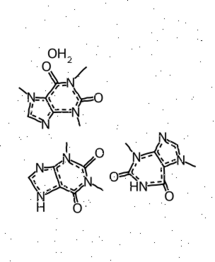 Cn1c(=O)c2[nH]cnc2n(C)c1=O.Cn1c(=O)c2c(ncn2C)n(C)c1=O.Cn1cnc2c1c(=O)[nH]c(=O)n2C.O